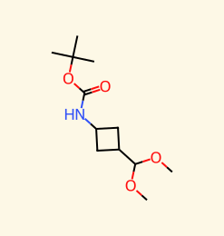 COC(OC)C1CC(NC(=O)OC(C)(C)C)C1